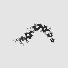 CN(C)CCNC(=O)c1ccc(COc2cc(-c3ccc(C(=O)N4CCC(N5CCCC5)CC4)cc3)cnc2N)cc1